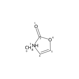 C.O=c1[nH]cco1